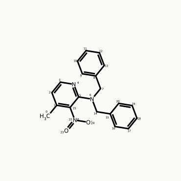 Cc1ccnc(N(Cc2ccccc2)Cc2ccccc2)c1[N+](=O)[O-]